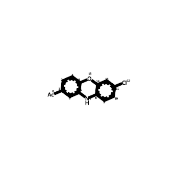 CC(=O)c1ccc2c(c1)Nc1ccc(Cl)cc1O2